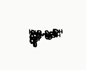 COc1ccc2c3c1O[C@H]1C(OC(=O)CCC(=O)O[C@@H](CC(=O)O)C(=O)O)=CC[C@@]4(O)[C@H](CCC[C@]314)C2